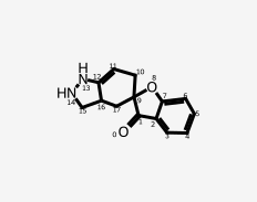 O=C1c2ccccc2OC12CC=C1NNCC1C2